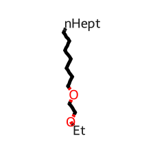 [CH2]COCCOCCCCCCCCCCCCCC